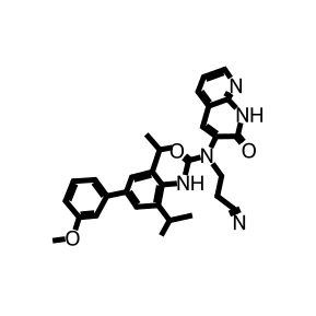 COc1cccc(-c2cc(C(C)C)c(NC(=O)N(CCC#N)c3cc4cccnc4[nH]c3=O)c(C(C)C)c2)c1